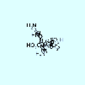 CC1(C)[C@H](NC(=O)/C(=N\O[C@@H](COc2ccc3nc(SCCCN)[nH]c3c2)C(=O)O)c2csc(N)n2)C(=O)N1OS(=O)(=O)O